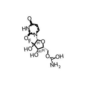 NP(O)OC[C@H]1O[C@@H](n2ccc(=O)[nH]c2=O)[C@@](O)(F)[C@@H]1O